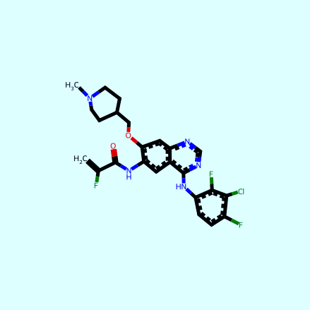 C=C(F)C(=O)Nc1cc2c(Nc3ccc(F)c(Cl)c3F)ncnc2cc1OCC1CCN(C)CC1